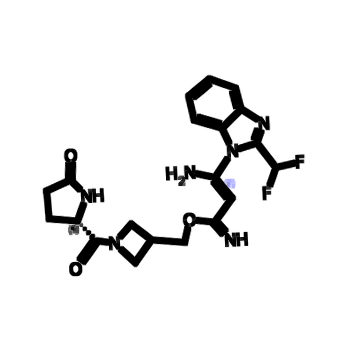 N=C(/C=C(\N)n1c(C(F)F)nc2ccccc21)OCC1CN(C(=O)[C@@H]2CCC(=O)N2)C1